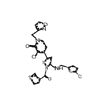 O=C(c1ccsc1)n1nc(-c2ccn(Cc3ccon3)c(=O)c2Cl)cc1NCc1ccc(Cl)s1